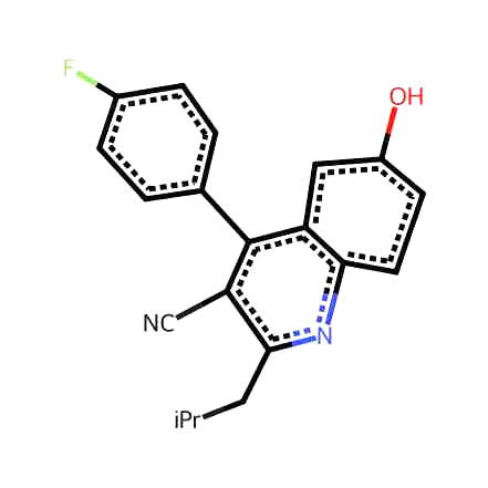 CC(C)Cc1nc2ccc(O)cc2c(-c2ccc(F)cc2)c1C#N